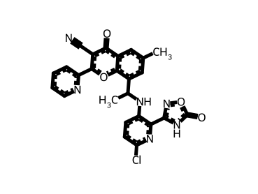 Cc1cc(C(C)Nc2ccc(Cl)nc2-c2noc(=O)[nH]2)c2oc(-c3ccccn3)c(C#N)c(=O)c2c1